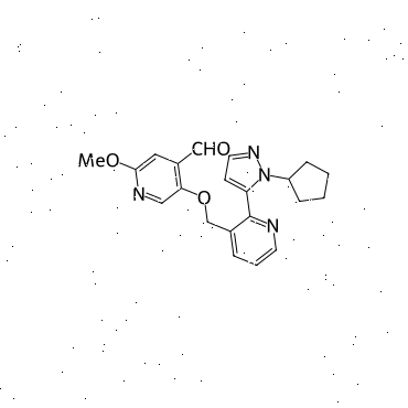 COc1cc(C=O)c(OCc2cccnc2-c2ccnn2C2CCCC2)cn1